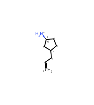 C=CCC1CC[C@H](N)C1